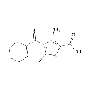 Cc1sc(C(=O)O)c(N)c1C(=O)C1CCCCC1